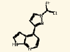 CCC(C(C)C)n1ccc(-c2ccnc3[nH]ccc23)n1